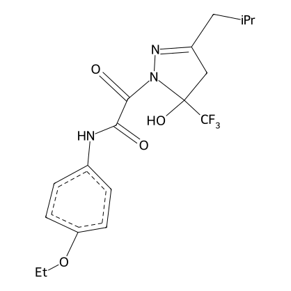 CCOc1ccc(NC(=O)C(=O)N2N=C(CC(C)C)CC2(O)C(F)(F)F)cc1